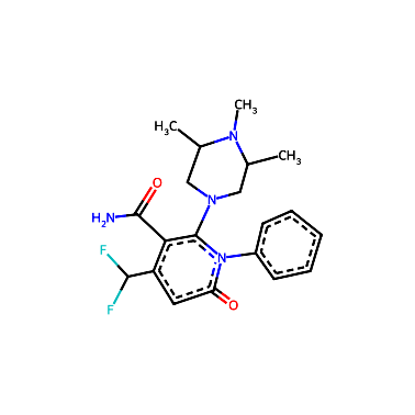 CC1CN(c2c(C(N)=O)c(C(F)F)cc(=O)n2-c2ccccc2)CC(C)N1C